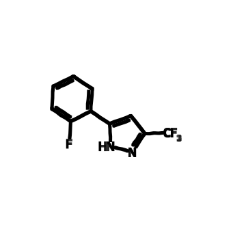 Fc1ccccc1-c1cc(C(F)(F)F)n[nH]1